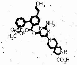 C/C=C/c1ccc(C(Oc2cc(N3CCC4(CC3)CN[C@H](C(=O)O)C4)nc(N)n2)C(F)(F)F)c(-c2cccc(S(C)(=O)=O)c2)c1